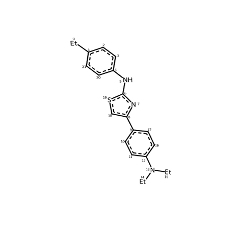 CCc1ccc(Nc2nc(-c3ccc(N(CC)CC)cc3)cs2)cc1